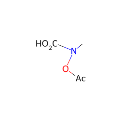 CC(=O)ON(C)C(=O)O